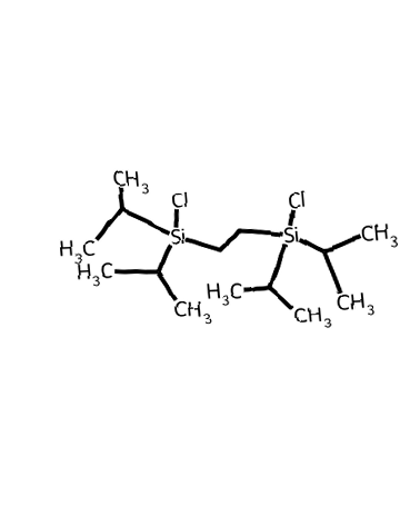 CC(C)[Si](Cl)(CC[Si](Cl)(C(C)C)C(C)C)C(C)C